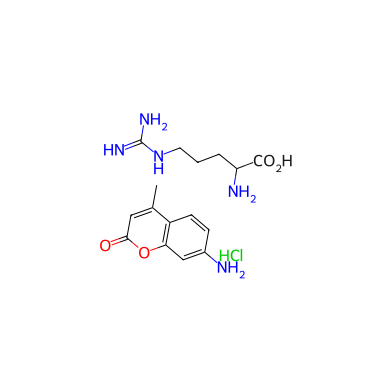 Cc1cc(=O)oc2cc(N)ccc12.Cl.N=C(N)NCCCC(N)C(=O)O